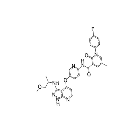 COCC(C)Nc1n[nH]c2nccc(Oc3ccc(NC(=O)c4cc(C)cn(-c5ccc(F)cc5)c4=O)nc3)c12